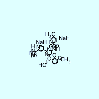 COc1ccccc1Oc1c(NS(=O)(=O)c2ccc(C)cn2)nc(-c2ccnc(-c3nnn[nH]3)c2)nc1OCCO.[NaH].[NaH]